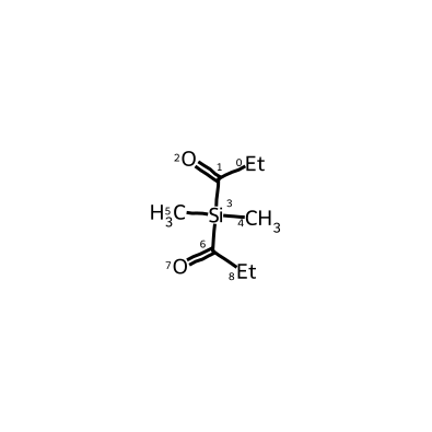 CCC(=O)[Si](C)(C)C(=O)CC